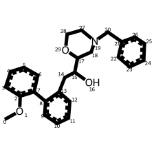 COc1ccccc1-c1ccccc1CC(O)C1CN(Cc2ccccc2)CCO1